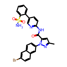 Cc1cc(C(=O)Nc2ccc(-c3ccccc3S(N)(=O)=O)cn2)n(-c2ccc3cc(Br)ccc3c2)n1